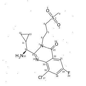 CS(=O)(=O)CCCn1c([C@@H](N)C2CC2)nc2c(Cl)cc(F)cc2c1=O